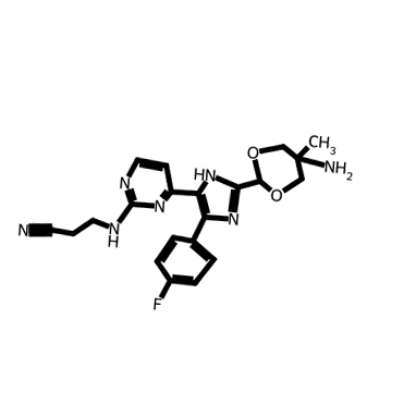 CC1(N)COC(c2nc(-c3ccc(F)cc3)c(-c3ccnc(NCCC#N)n3)[nH]2)OC1